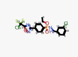 CCOP(=O)(NCc1cccc(Cl)c1)c1ccc(-c2noc(C(F)(F)Cl)n2)cc1